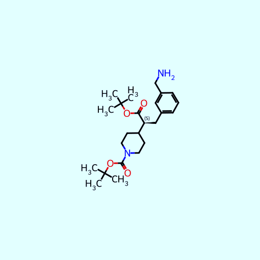 CC(C)(C)OC(=O)[C@@H](Cc1cccc(CN)c1)C1CCN(C(=O)OC(C)(C)C)CC1